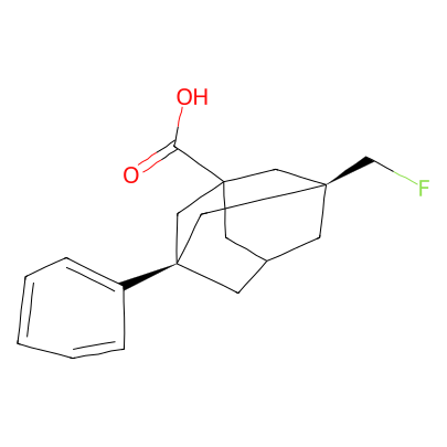 O=C(O)C12CC3C[C@@](CF)(C1)C[C@](c1ccccc1)(C3)C2